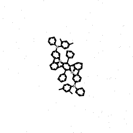 Cc1ccc(N(c2ccccc2)c2ccc3c4cccc5c6c(-c7ccccc7)c7c(c(-c8ccccc8)c6n(c3c2)c45)c2cccc3c4ccc(N(c5ccccc5)c5ccc(C)cc5C)cc4n7c32)c(C)c1